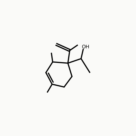 C=C(C)C1(C(C)O)CCC(C)=CC1C